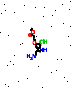 CCOC(=O)CCCOc1ccc2[nH]cc(CCN)c2c1.Cl